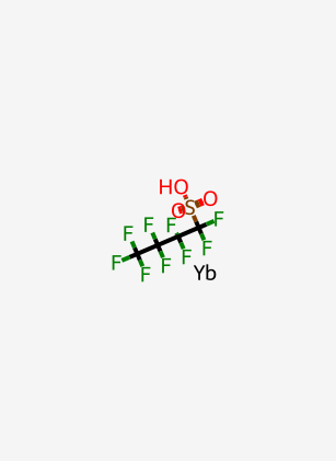 O=S(=O)(O)C(F)(F)C(F)(F)C(F)(F)C(F)(F)F.[Yb]